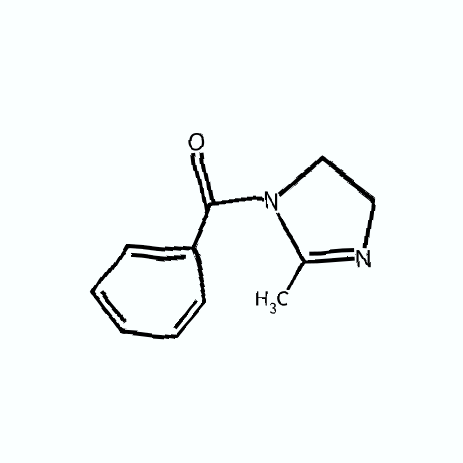 CC1=NCCN1C(=O)c1ccccc1